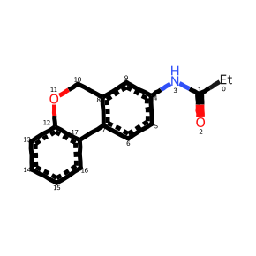 CCC(=O)Nc1ccc2c(c1)COc1ccccc1-2